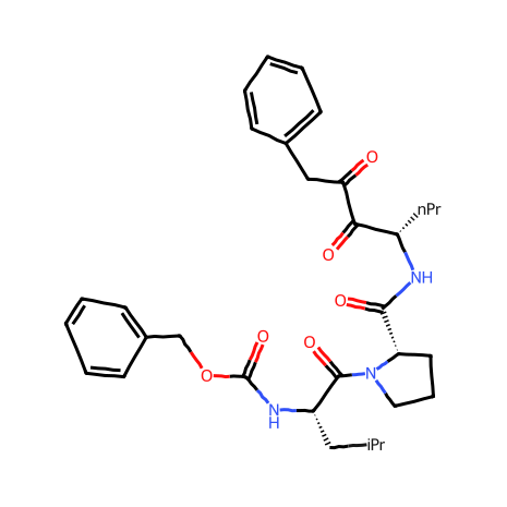 CCC[C@H](NC(=O)[C@@H]1CCCN1C(=O)[C@H](CC(C)C)NC(=O)OCc1ccccc1)C(=O)C(=O)Cc1ccccc1